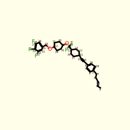 C/C=C/CCc1ccc(C#CC2CCC(C(F)(F)OC3CCC(OCc4cc(F)c(F)c(F)c4)CC3)CC2)cc1